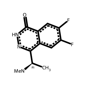 CN[C@H](C)c1n[nH]c(=O)c2cc(F)c(F)cc12